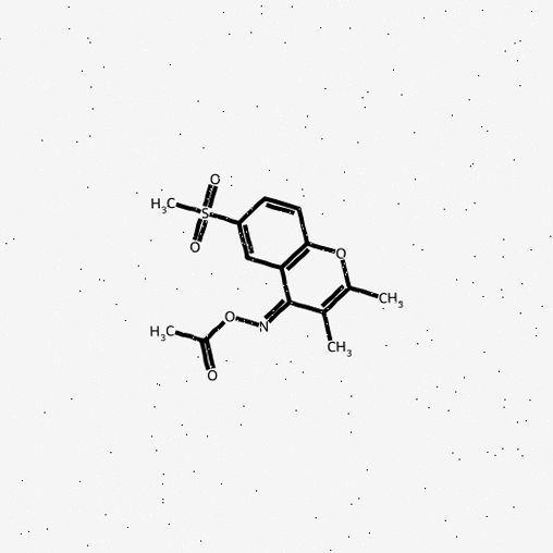 CC(=O)O/N=c1/c(C)c(C)oc2ccc(S(C)(=O)=O)cc12